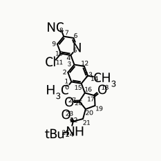 Cc1cc(-c2ncc(C#N)cc2Cl)cc(C)c1C1C(=O)CC(CC(=O)NC(C)(C)C)C1=O